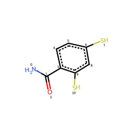 NC(=O)c1[c]cc(S)cc1S